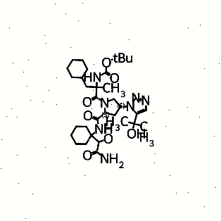 CC(C)(C)OC(=O)NC(C)(CC1CCCCC1)C(=O)N1C[C@@H](n2nncc2C(C)(C)O)C[C@H]1C(=O)NC1(C(O)C(N)=O)CCCCC1